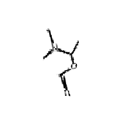 CC(O[C]=O)N(C)C